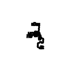 CC/C=C\C/C=C\C/C=C\C/C=C\C/C=C\C/C=C\CCC(=O)OC[C@H](COP(=O)(O)OC[C@@H](O)CO)OC(=O)CCCCCCCCCCCCCCCCC